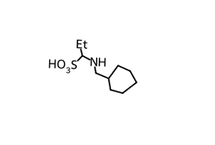 CCC(NCC1CCCCC1)S(=O)(=O)O